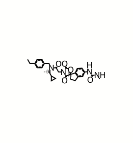 CCc1ccc(CN(C(=O)CN2C(=O)O[C@@]3(CCc4cc(NC(=O)NC)ccc43)C2=O)[C@@H](C)C2CC2)cc1